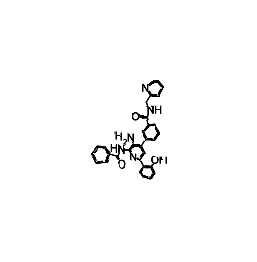 Nc1c(-c2cccc(C(=O)NCc3ccccn3)c2)cc(-c2ccccc2O)nc1NC(=O)c1ccccc1